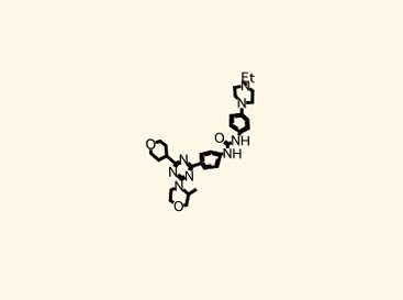 CCN1CCN(c2ccc(NC(=O)Nc3ccc(-c4nc(C5CCOCC5)nc(N5CCOCC5C)n4)cc3)cc2)CC1